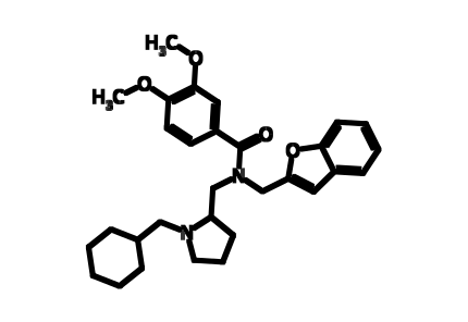 COc1ccc(C(=O)N(Cc2cc3ccccc3o2)CC2CCCN2CC2CCCCC2)cc1OC